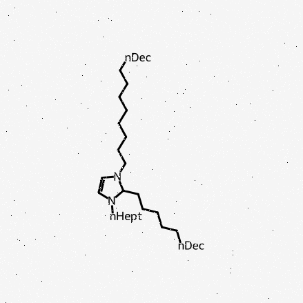 CCCCCCCCCCCCCCCCCCN1C=CN(CCCCCCC)C1CCCCCCCCCCCCCCC